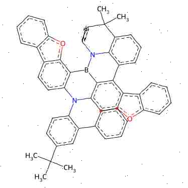 CC(C)(C)c1ccc(N2c3cc4oc5ccccc5c4c4c3B(c3c2ccc2c3oc3ccccc32)N2c3ccccc3C(C)(C)c3cccc-4c32)c(-c2ccccc2)c1